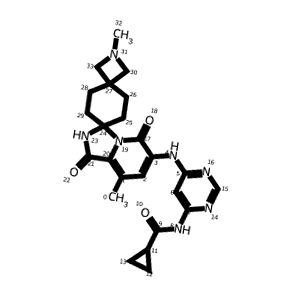 Cc1cc(Nc2cc(NC(=O)C3CC3)ncn2)c(=O)n2c1C(=O)NC21CCC2(CC1)CN(C)C2